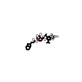 CC(C)c1cc(S(=O)(=O)O)cc(C(C)C)c1OC(=O)C1C2CC3C(OC(=O)C31)C2OC(=O)CCC1CC2CCCC(C2)C1